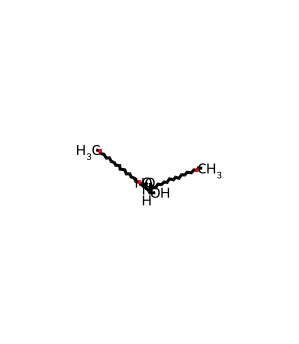 CCCCCCCCCCCCCCCCCCCC(=O)NC(CO)C(O)CCCCCCCCCCCCCCCCC